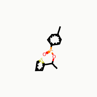 Cc1ccc([P](=O)OC(C)c2cccs2)cc1